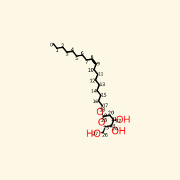 CCCCCCCC/C=C\CCCCCCCCO[C@@H]1C[C@@H](O)[C@H](O)[C@@H](CO)O1